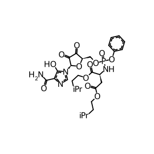 CC(C)CCOC(=O)C[C@H](NP(=O)(OC[C@H]1O[C@@H](n2cnc(C(N)=O)c2O)C(=O)C1=O)Oc1ccccc1)C(=O)OCCC(C)C